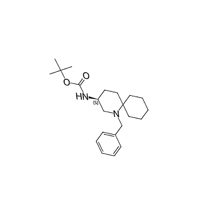 CC(C)(C)OC(=O)N[C@H]1CCC2(CCCCC2)N(Cc2ccccc2)C1